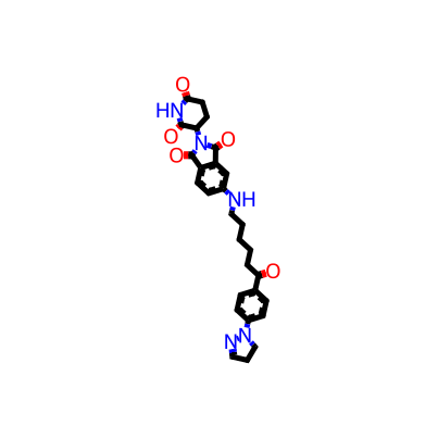 O=C1CCC(N2C(=O)c3ccc(NCCCCCC(=O)c4ccc(N5CCC=N5)cc4)cc3C2=O)C(=O)N1